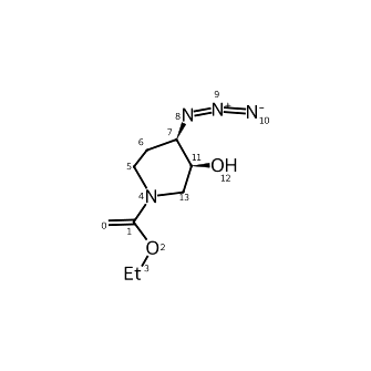 C=C(OCC)N1CC[C@@H](N=[N+]=[N-])[C@@H](O)C1